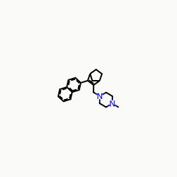 CN1CCN(CC2=C(c3ccc4ccccc4c3)C3CCC2C3)CC1